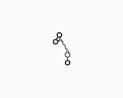 c1ccc(C2CCN(CCCCCn3c4ccccc4c4ccccc43)CC2)cc1